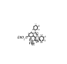 CCOC(=O)c1ccc(C(=O)c2ccccc2)c(N(Cc2ccccc2)C(=O)C(O)CC)c1